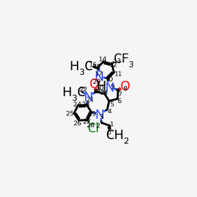 C=CCN1CC2CC(=O)N(c3cc(C(F)(F)F)cc(C)n3)[C@@H]2C(=O)N(C)c2cccc(Cl)c21